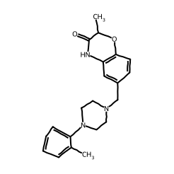 Cc1ccccc1N1CCN(Cc2ccc3c(c2)NC(=O)C(C)O3)CC1